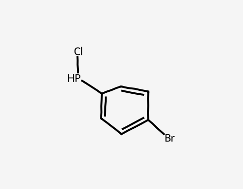 ClPc1ccc(Br)cc1